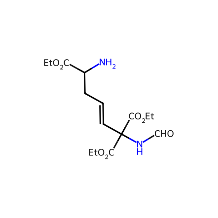 CCOC(=O)C(N)CC=CC(NC=O)(C(=O)OCC)C(=O)OCC